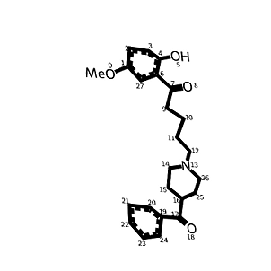 COc1ccc(O)c(C(=O)CCCCN2CCC(C(=O)c3ccccc3)CC2)c1